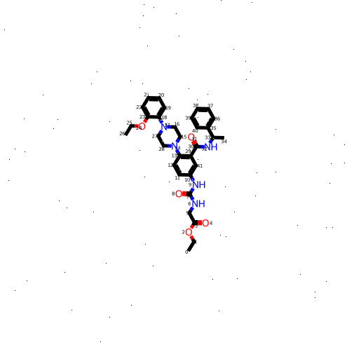 CCOC(=O)CNC(=O)Nc1ccc(N2CCN(c3ccccc3OCC)CC2)c(C(=O)NC(C)c2ccccc2)c1